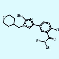 CCN(CC)C(=O)c1cc(-c2cn(CC3CCOCC3)c(C(C)(C)C)n2)ccc1Cl